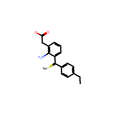 CCc1ccc(C(=S)c2cccc(CC(=O)[O-])c2N)cc1.[Na+]